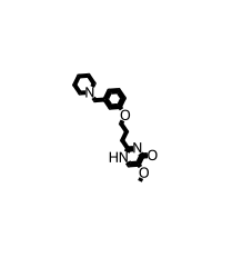 COc1c[nH]c(CCCOc2cccc(CN3CCCCC3)c2)nc1=O